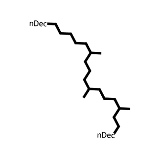 CCCCCCCCCCCCCCCC(C)CCCC(C)CCCC(C)CCCCCCCCCCCC